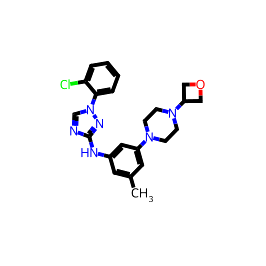 Cc1cc(Nc2ncn(-c3ccccc3Cl)n2)cc(N2CCN(C3COC3)CC2)c1